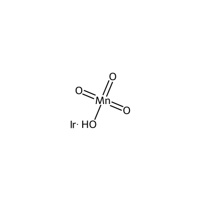 [Ir].[O]=[Mn](=[O])(=[O])[OH]